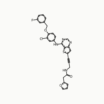 O=C(Cc1ccco1)NCC#Cc1cc2ncnc(Nc3ccc(OCc4cccc(F)c4)c(Cl)c3)c2s1